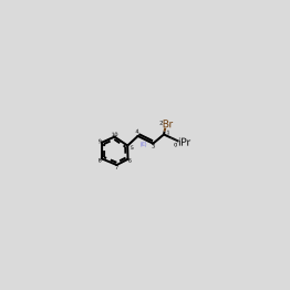 CC(C)C(Br)/C=C/c1ccccc1